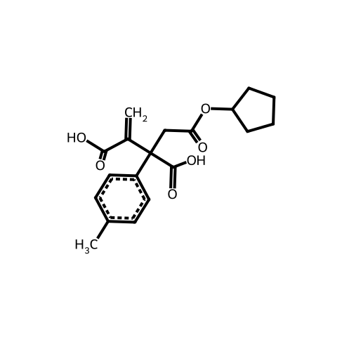 C=C(C(=O)O)C(CC(=O)OC1CCCC1)(C(=O)O)c1ccc(C)cc1